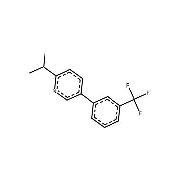 CC(C)c1ccc(-c2cccc(C(F)(F)F)c2)cn1